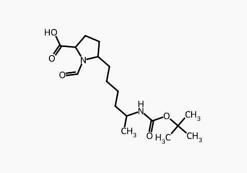 CC(CCCCC1CCC(C(=O)O)N1C=O)NC(=O)OC(C)(C)C